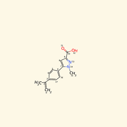 C=C(C)c1ccc(-c2cc(C(=O)O)nn2C)cc1